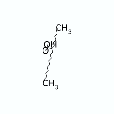 CCCCCCCCCCCC(CCCCCCC)C(=O)O